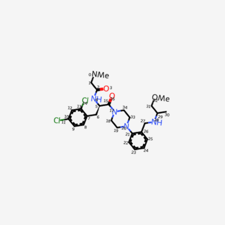 CNCC(=O)N[C@H](Cc1ccc(Cl)cc1Cl)C(=O)N1CCN(c2ccccc2CNC(C)COC)CC1